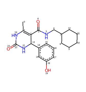 CC1=C(C(=O)NCC2CCCCC2)C(c2cccc(O)c2)NC(=O)N1